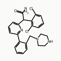 NC(=O)C(c1cccc(-c2ccccc2CN2CCNCC2)n1)c1c(Cl)cccc1Cl